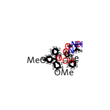 COc1ccc(C(OC[C@@H]2O[C@H](n3cc(C)c(=O)[nH]c3=O)C([Te]c3ccccc3)C2O)(c2ccccc2)c2ccc(OC)cc2)cc1